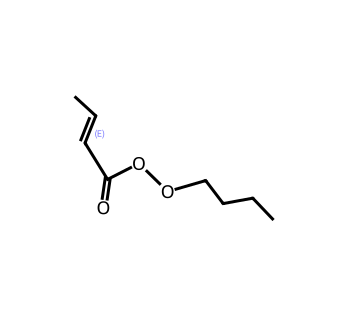 C/C=C/C(=O)OOCCCC